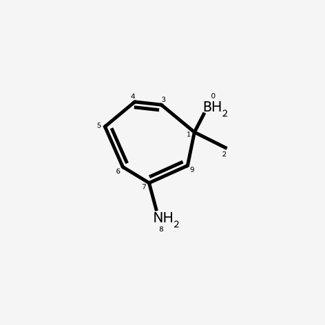 BC1(C)C=CC=CC(N)=C1